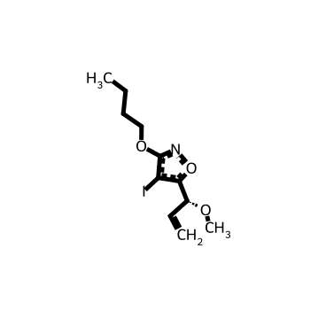 C=C[C@@H](OC)c1onc(OCCCC)c1I